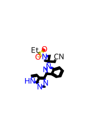 CCS(=O)(=O)N1CC(CC#N)(n2nc(-c3ncnc4[nH]ccc34)c3ccccc32)C1